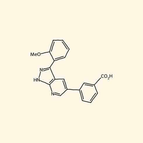 COc1ccccc1-c1n[nH]c2ncc(-c3cccc(C(=O)O)c3)cc12